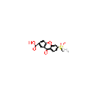 C[S+]([O-])c1ccc2c(=O)c3cc(C(=O)O)ccc3oc2c1